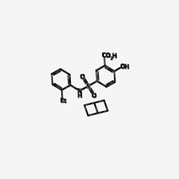 C1CC2CCC12.CCc1ccccc1NS(=O)(=O)c1ccc(O)c(C(=O)O)c1